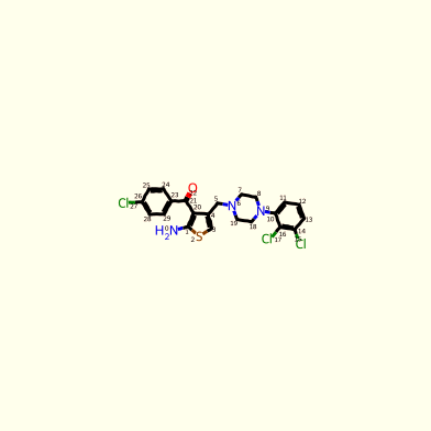 Nc1scc(CN2CCN(c3cccc(Cl)c3Cl)CC2)c1C(=O)c1ccc(Cl)cc1